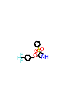 O=S(=O)(c1ccccc1)[C@@H]1CNC[C@H]1OCc1ccc(C(F)(F)F)cc1